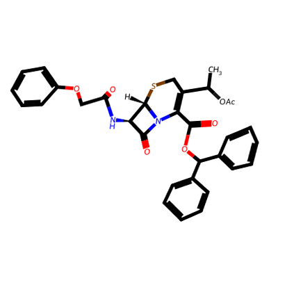 CC(=O)OC(C)C1=C(C(=O)OC(c2ccccc2)c2ccccc2)N2C(=O)[C@@H](NC(=O)COc3ccccc3)[C@@H]2SC1